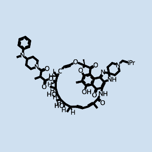 C/C1=C/C=C/[C@H](C)[C@H](O)[C@@H](C)[C@@H](O)[C@@H](C)[C@H](OC(=O)C(C)C(=O)N2CCC(N(C)c3ccccc3)CC2)[C@H](I)C/C=C/O[C@@]2(C)Oc3c(C)c(O)c4c(c3C2=O)C2=NC3(CCN(CC(C)C)CC3)NC2=C(NC1=O)C4=O